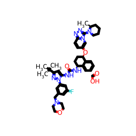 C[C@H]1CCCCN1c1nnc2ccc(O[C@@H]3CC[C@H](NC(=O)Nc4cc(C(C)(C)C)nn4-c4cc(F)cc(CN5CCOCC5)c4)c4ccccc43)cn12.O=CO